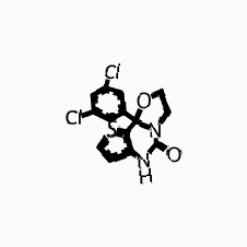 O=C1Nc2ccsc2C2(c3cc(Cl)cc(Cl)c3)OCCN12